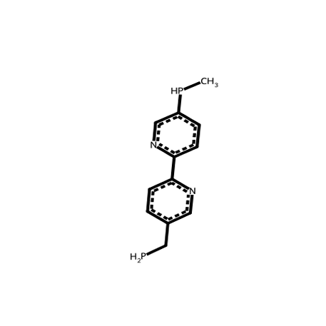 CPc1ccc(-c2ccc(CP)cn2)nc1